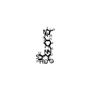 Cc1cnn(Cc2ccc(Cn3cc(C(=O)O)c(-c4ccsc4)n3)cc2)c1